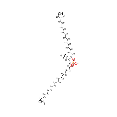 CCCCCCCCCCCCCCCCCCOP(=O)(CCCC)OCCCCCCCCCCCCCCCCCC